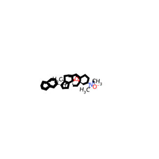 C[C@]12CC=C3C=C4CC[C@H]([N+](C)(C)[O-])C[C@]45CC[C@]3(O5)[C@@H]1CC[C@@H]2c1ccc2ccccc2c1